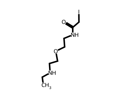 CCNCCOCCNC(=O)CI